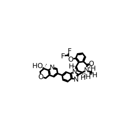 [2H]C([2H])([2H])N1C(=O)c2cccc(OC(F)F)c2[C@H]2C[C@@H]1c1nc3ccc(-c4cnc5c(c4)COC[C@@]5(C)O)cc3n12